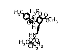 COC(=O)c1cc(C#CCNC(=O)OC(C)(C)C)c(NS(=O)(=O)c2ccc(C)cc2)cc1OC